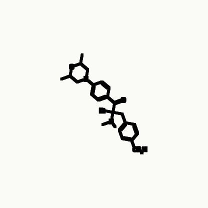 CCC(Cc1ccc(C(=O)O)cc1)(C(=O)c1ccc(N2CC(C)OC(C)C2)cc1)N(C)C